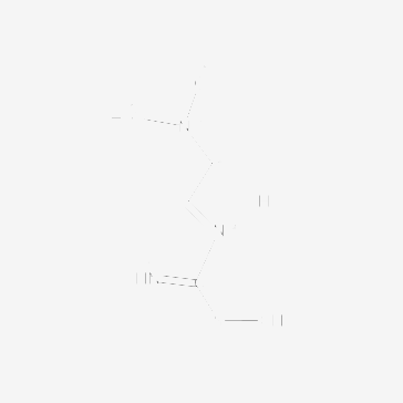 CSC(=N)N=CCN(C)C.I